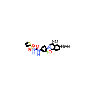 CNc1ccc2c(=O)n(-c3ccc(NC(=O)NS(=O)(=O)c4cccs4)cc3F)cc(N=O)c2c1